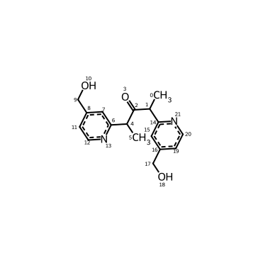 CC(C(=O)C(C)c1cc(CO)ccn1)c1cc(CO)ccn1